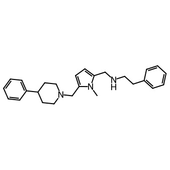 Cn1c(CNCCc2ccccc2)ccc1CN1CCC(c2ccccc2)CC1